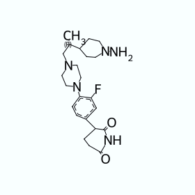 C[C@@H](CN1CCN(c2ccc(C3CCC(=O)NC3=O)cc2F)CC1)C1CCN(N)CC1